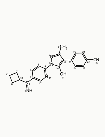 Cc1nn(-c2ccc(S(=N)C3CCC3)cn2)c(O)c1-c1ccc(C#N)cc1